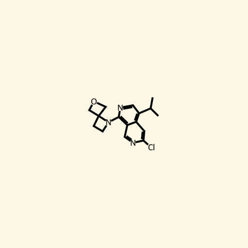 CC(C)c1cnc(N2CCC23COC3)c2cnc(Cl)cc12